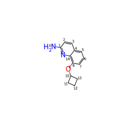 Nc1ccc2cccc(OC3CCC3)c2n1